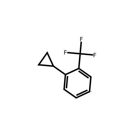 FC(F)(F)c1c[c]ccc1C1CC1